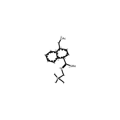 CSC(=NC[Si](C)(C)C)c1ccc(COC(C)=O)c2ccccc12